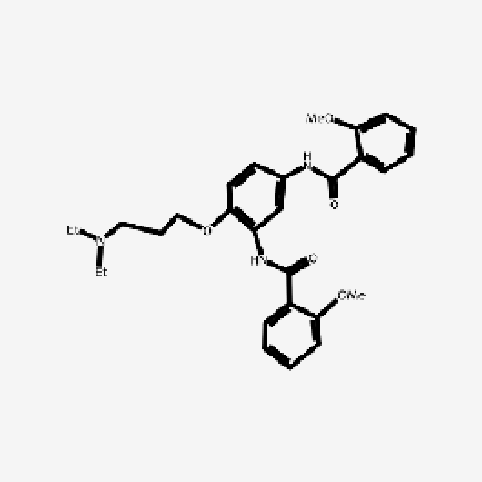 CCN(CC)CCCOc1ccc(NC(=O)c2ccccc2OC)cc1NC(=O)c1ccccc1OC